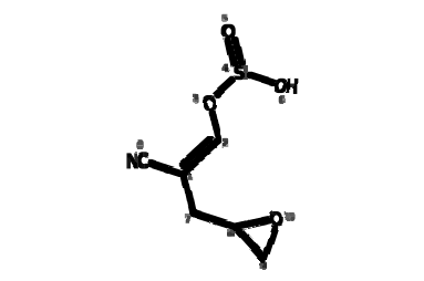 N#CC(=CO[Si](=O)O)CC1CO1